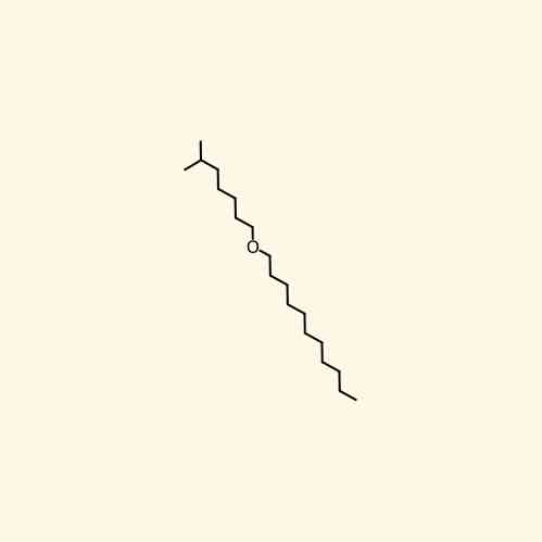 CCCCCCCCCCCOCCCCCC(C)C